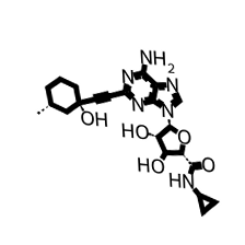 C[C@@H]1CCC[C@@](O)(C#Cc2nc(N)c3ncn([C@@H]4O[C@H](C(=O)NC5CC5)C(O)[C@@H]4O)c3n2)C1